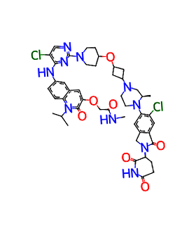 CNC(=O)COc1cc2cc(Nc3nc(N4CCC(OC5CC(N6CCN(c7cc8c(cc7Cl)C(=O)N([C@H]7CCC(=O)NC7=O)C8)[C@H](C)C6)C5)CC4)ncc3Cl)ccc2n(C(C)C)c1=O